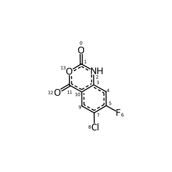 O=c1[nH]c2cc(F)c(Cl)cc2c(=O)o1